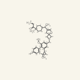 C=CC(=O)C1(C)CCC([C@@H](C)C2=COC3(C2)CN(Cc2cc(OCC)c(-c4ccc(F)cc4)c(C4CC4(C)F)c2)C3)CC1